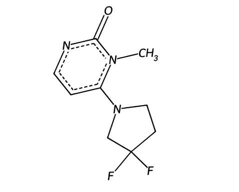 Cn1c(N2CCC(F)(F)C2)ccnc1=O